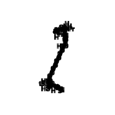 Cc1cc(C)c(CNC(=O)c2cc(-c3ccc(N4CCN(CCC(=O)NCCOCCOCCOCCOCCOCCOCCOCCOCCC(=O)N[C@H](C(=O)N5C[C@H](O)C[C@H]5C(=O)NCc5ccc(-c6scnc6C)cc5)C(C)(C)C)CC4)nc3)cc(NC(C)C)c2C=N)c(=O)[nH]1